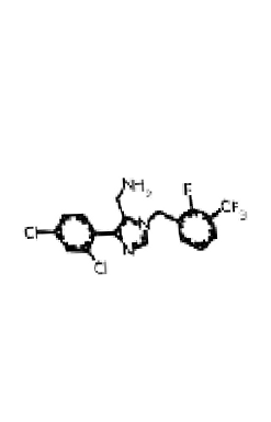 NCc1c(-c2ccc(Cl)cc2Cl)ncn1Cc1cccc(C(F)(F)F)c1F